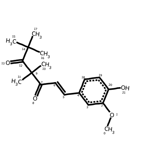 COc1cc(C=CC(=O)C(C)(C)C(=O)C(C)(C)C)ccc1O